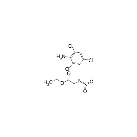 CCOC(=O)CN=S(=O)=O.Nc1c(Cl)cc(Cl)cc1Cl